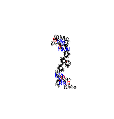 COC(=O)N[C@H](C(=O)N1C2CCC(C2)[C@H]1c1ncc(-c2ccc(-c3ccc(-c4ccc5nc([C@@H]6C7CCC(C7)N6C(=O)[C@@H](NC(=O)OC)C(C)C)[nH]c5c4)c4c3C3CCC4CC3)cc2)[nH]1)C(C)C